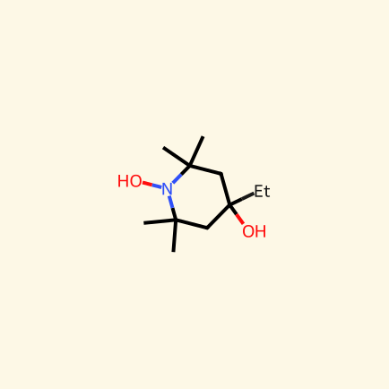 CCC1(O)CC(C)(C)N(O)C(C)(C)C1